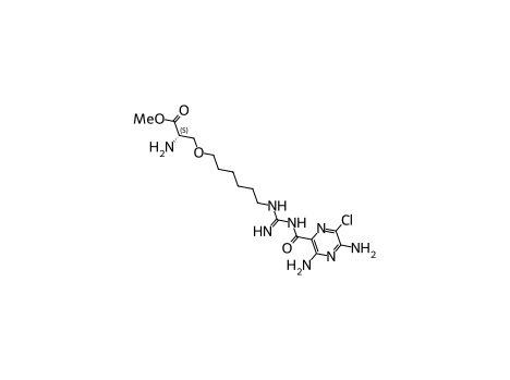 COC(=O)[C@@H](N)COCCCCCCNC(=N)NC(=O)c1nc(Cl)c(N)nc1N